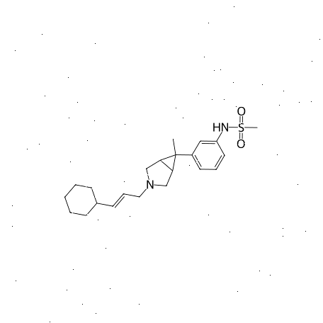 CC1(c2cccc(NS(C)(=O)=O)c2)C2CN(CC=CC3CCCCC3)CC21